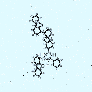 c1ccc(C2NC(c3ccc4c(c3)sc3c(-c5cccc6c5sc5ccccc56)cccc34)NC(c3cccc4c3oc3ccccc34)N2)cc1